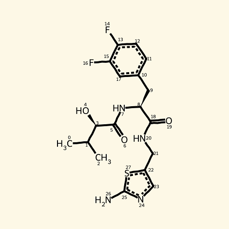 CC(C)[C@@H](O)C(=O)N[C@@H](Cc1ccc(F)c(F)c1)C(=O)NCc1cnc(N)s1